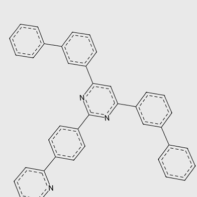 c1ccc(-c2cccc(-c3cc(-c4cccc(-c5ccccc5)c4)nc(-c4ccc(-c5ccccn5)cc4)n3)c2)cc1